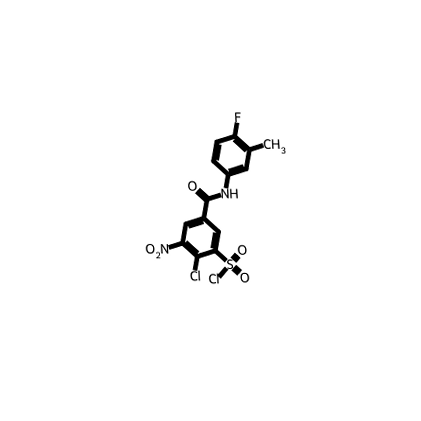 Cc1cc(NC(=O)c2cc([N+](=O)[O-])c(Cl)c(S(=O)(=O)Cl)c2)ccc1F